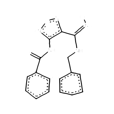 O=C(Nc1nonc1/C(=N\O)NCc1ccccc1)c1ccccc1